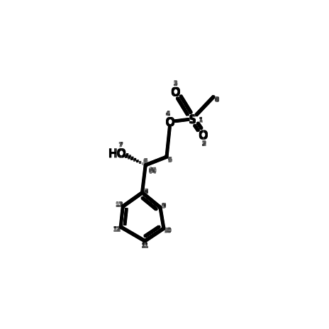 CS(=O)(=O)OC[C@@H](O)c1ccccc1